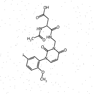 COc1ccc(I)cc1-n1ccc(=O)n(CNC(=O)C(CC(=O)O)NC(C)=O)c1=O